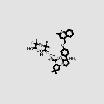 Cc1cc(COc2ccc([C@@]3(N)CCN([C@@H]4CC(C)(C)C[C@@H]4C(=O)NO)C3=O)cc2)c2ccccc2n1.O=C(O)C(F)(F)F.O=C(O)C(F)(F)F